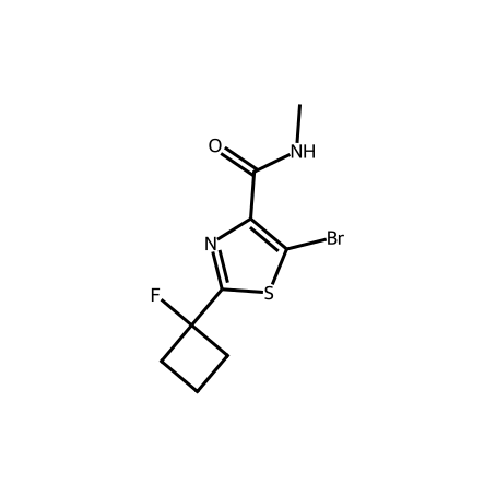 CNC(=O)c1nc(C2(F)CCC2)sc1Br